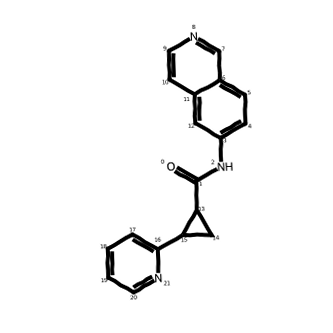 O=C(Nc1ccc2cnccc2c1)C1CC1c1ccccn1